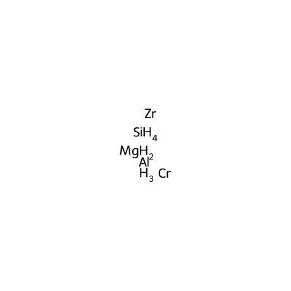 [AlH3].[Cr].[MgH2].[SiH4].[Zr]